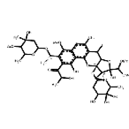 COc1c([C@H](C)OC2CC(C)(O)C(OC(C)=O)C(C)O2)c(C(=O)C(C)O)c(O)c2c3c(c(C)cc12)C(I)C1OC(O)(C(OC)OC)[C@]2(CO2)[C@]1(OC1CC(O)C(O)(C(C)=O)C(C)O1)O3